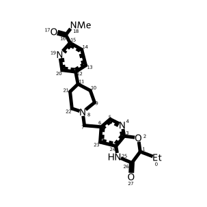 CCC1Oc2ncc(CN3CCC(c4ccc(C(=O)NC)nc4)CC3)cc2NC1=O